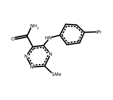 CSc1nnc(C(N)=O)c(Nc2ccc(C(C)C)cc2)n1